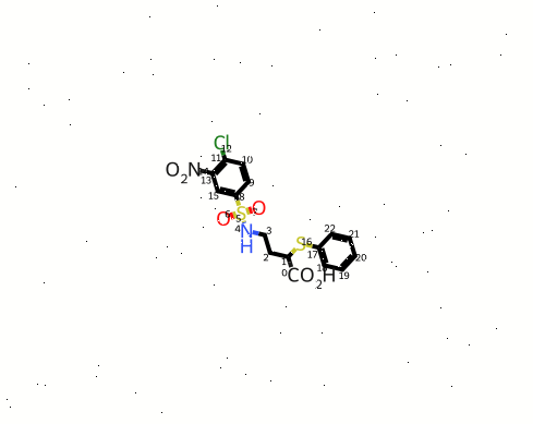 O=C(O)C(CCNS(=O)(=O)c1ccc(Cl)c([N+](=O)[O-])c1)Sc1ccccc1